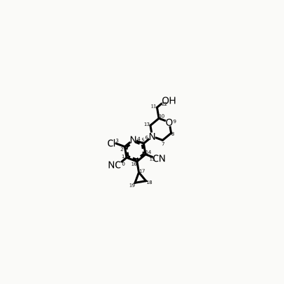 N#Cc1c(Cl)nc(N2CCOC(CO)C2)c(C#N)c1C1CC1